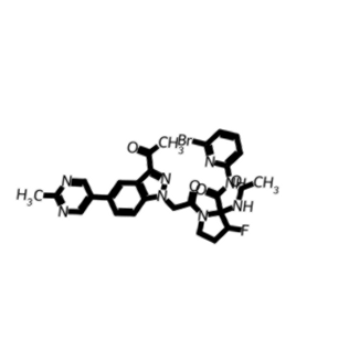 CC(=O)NC1(C(=O)Nc2cccc(Br)n2)C(F)CCN1C(=O)Cn1nc(C(C)=O)c2cc(-c3cnc(C)nc3)ccc21